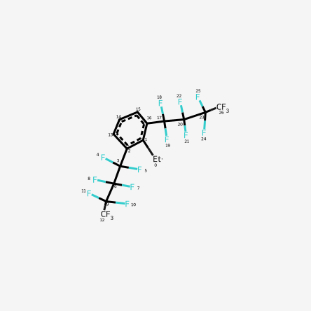 C[CH]c1c(C(F)(F)C(F)(F)C(F)(F)C(F)(F)F)cccc1C(F)(F)C(F)(F)C(F)(F)C(F)(F)F